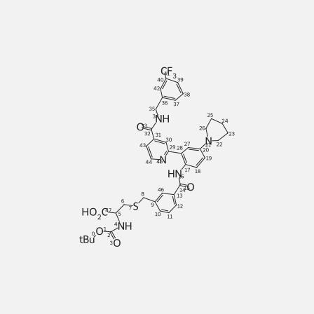 CC(C)(C)OC(=O)NC(CSCc1cccc(C(=O)Nc2ccc(N3CCCCC3)cc2-c2cc(C(=O)NCc3cccc(C(F)(F)F)c3)ccn2)c1)C(=O)O